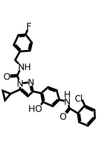 O=C(Nc1ccc(-c2cc(C3CC3)n(C(=O)NCc3ccc(F)cc3)n2)c(O)c1)c1ccccc1Cl